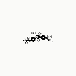 COC(=O)C(N)Cc1ccc(N2CC(OC)=C(c3ccc(C(=N)N)cc3)C2=O)cc1.Cl